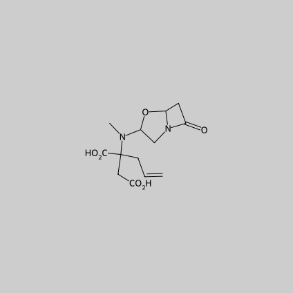 C=CCC(CC(=O)O)(C(=O)O)N(C)C1CN2C(=O)CC2O1